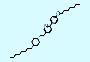 CCCCCCCC[C@H]1CC[C@H](CCc2ccc(-c3ccc(OCCCCCCC)cc3)nc2)CC1